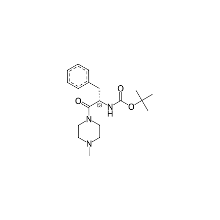 CN1CCN(C(=O)[C@H](Cc2ccccc2)NC(=O)OC(C)(C)C)CC1